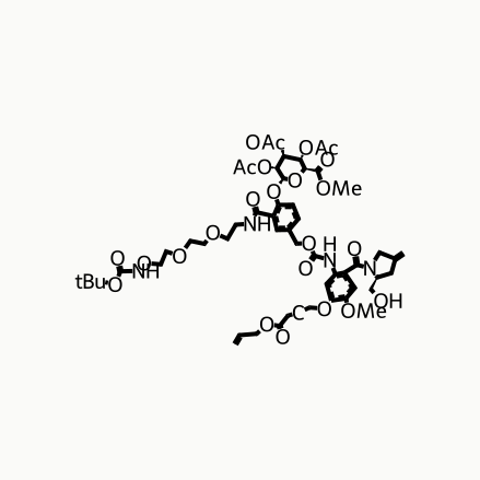 C=CCOC(=O)CCCOc1cc(NC(=O)OCc2ccc(O[C@@H]3O[C@H](C(=O)OC)[C@@H](OC(C)=O)[C@H](OC(C)=O)[C@H]3OC(C)=O)c(C(=O)NCCOCCOCCONC(=O)OC(C)(C)C)c2)c(C(=O)N2CC(=C)C[C@H]2CO)cc1OC